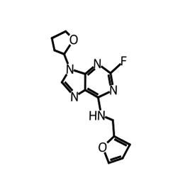 Fc1nc(NCc2ccco2)c2ncn(C3CCCO3)c2n1